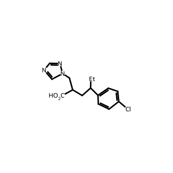 CCC(CC(Cn1cncn1)C(=O)O)c1ccc(Cl)cc1